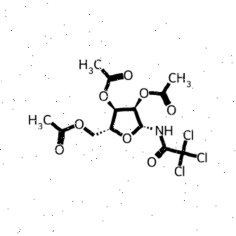 CC(=O)OC[C@H]1O[C@@H](NC(=O)C(Cl)(Cl)Cl)[C@H](OC(C)=O)[C@@H]1OC(C)=O